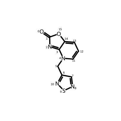 O=c1nc2n(Cc3cnsn3)cccc-2o1